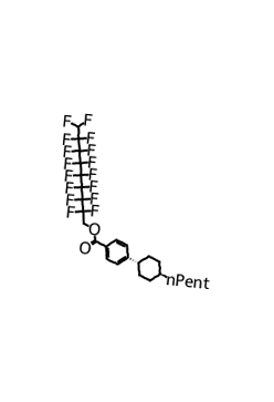 CCCCC[C@H]1CC[C@H](c2ccc(C(=O)OCC(F)(F)C(F)(F)C(F)(F)C(F)(F)C(F)(F)C(F)(F)C(F)(F)C(F)F)cc2)CC1